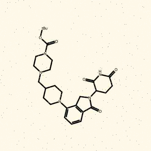 CC(C)(C)OC(=O)N1CCN(CC2CCN(c3cccc4c3CN(C3CCC(=O)NC3=O)C4=O)CC2)CC1